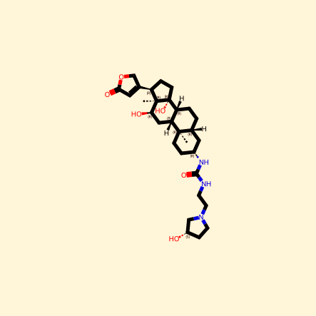 C[C@@]12CC[C@@H](NC(=O)NCCN3CC[C@H](O)C3)C[C@H]1CC[C@@H]1[C@H]2C[C@@H](O)[C@@]2(C)[C@@H](C3=CC(=O)OC3)CC[C@@]12O